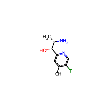 Cc1cc([C@H](O)[C@H](C)N)ncc1F